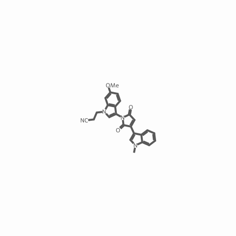 COc1ccc2c(N3C(=O)C=C(c4cn(C)c5ccccc45)C3=O)cn(CCC#N)c2c1